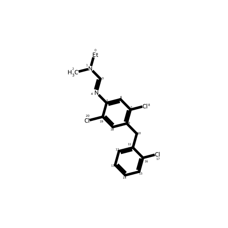 CCN(C)C=Nc1cc(Cl)c(Cc2ccccc2Cl)cc1Cl